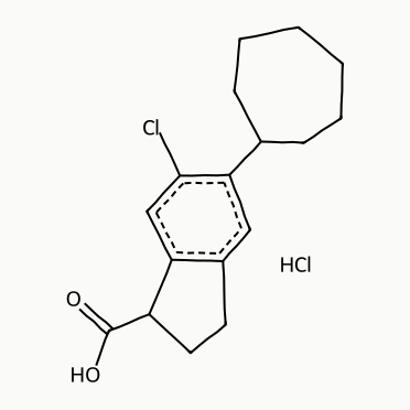 Cl.O=C(O)C1CCc2cc(C3CCCCCC3)c(Cl)cc21